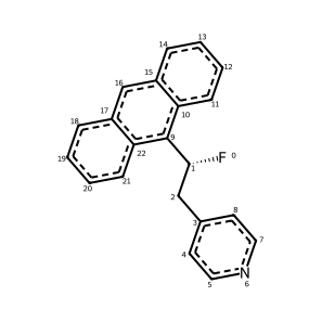 F[C@H](Cc1ccncc1)c1c2ccccc2cc2ccccc12